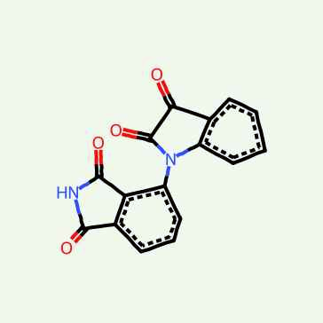 O=C1C(=O)N(c2cccc3c2C(=O)NC3=O)c2ccccc21